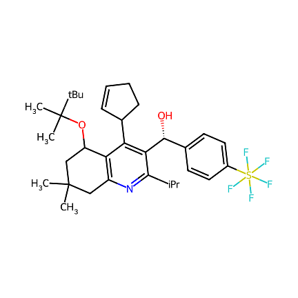 CC(C)c1nc2c(c(C3C=CCC3)c1[C@H](O)c1ccc(S(F)(F)(F)(F)F)cc1)C(OC(C)(C)C(C)(C)C)CC(C)(C)C2